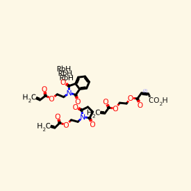 C=CC(=O)OCCN1C(=O)CCC1=O.C=CC(=O)OCCN1C(=O)c2ccccc2C1=O.C=CC(=O)OCCOC(=O)/C=C\C(=O)O.[RbH].[RbH].[RbH]